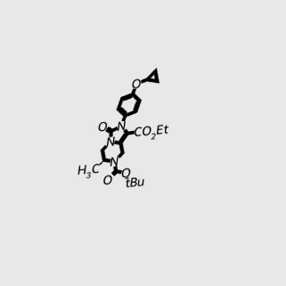 CCOC(=O)c1c2n(c(=O)n1-c1ccc(OC3CC3)cc1)C[C@@H](C)N(C(=O)OC(C)(C)C)C2